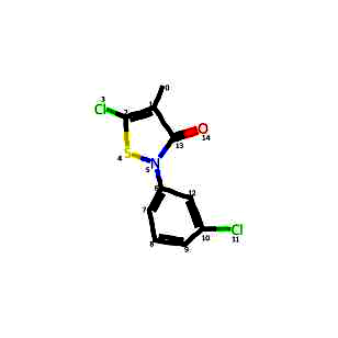 Cc1c(Cl)sn(-c2cccc(Cl)c2)c1=O